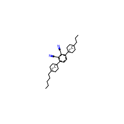 CCCCCC12CCC(c3ccc(C45CCC(CCC)(CC4)CC5)c(C#N)c3C#N)(CC1)CC2